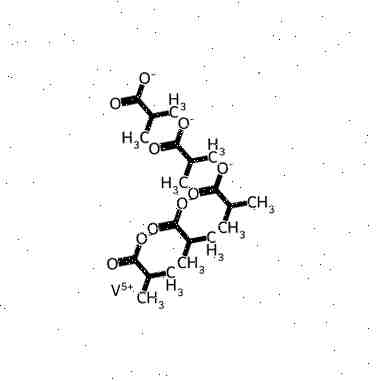 CC(C)C(=O)[O-].CC(C)C(=O)[O-].CC(C)C(=O)[O-].CC(C)C(=O)[O-].CC(C)C(=O)[O-].[V+5]